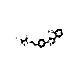 C=C(C)C(=O)OCCc1ccc(-n2cc(-c3ccccc3O)nn2)cc1